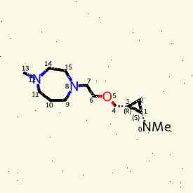 CN[C@H]1C[C@H]1COCCN1CCCN(C)CC1